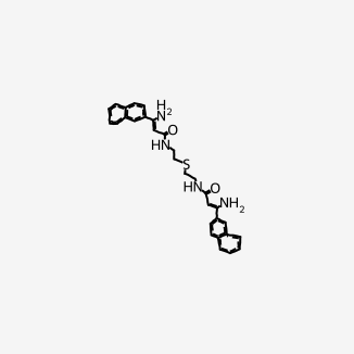 NC(=CC(=O)NCCSCCNC(=O)C=C(N)c1ccc2ccccc2c1)c1ccc2ccccc2c1